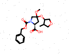 COC1(OC2COCC2C)C[C@@H](C(=O)O)N(C(=O)OCc2ccccc2)C1